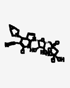 N#Cc1c(Cl)nc2c(ccn2[C@@H]2O[C@H](CS(=O)(=O)CP(=O)(O)O)[C@@H](O)[C@H]2O)c1N1CC2CC2C1